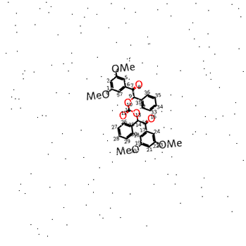 COc1cc(OC)cc(C(=O)C(OC(=O)OC(C(=O)c2cc(OC)cc(OC)c2)c2ccccc2)c2ccccc2)c1